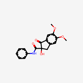 COc1cc2c(cc1OC)C(=O)C(O)(C(=O)Nc1ccccc1)C2